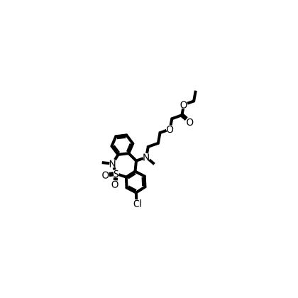 CCOC(=O)COCCCN(C)C1c2ccccc2N(C)S(=O)(=O)c2cc(Cl)ccc21